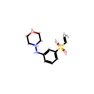 C=CS(=O)(=O)c1cccc([N]N2CCOCC2)c1